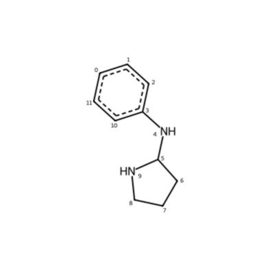 c1ccc(NC2CCCN2)cc1